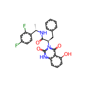 C[C@H](NC(=O)[C@@H](Cc1ccccc1)n1c(=O)[nH]c2cccc(O)c2c1=O)c1ccc(F)cc1F